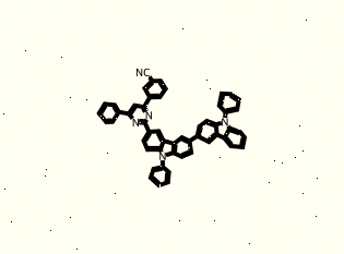 N#Cc1cccc(-c2cc(-c3ccccc3)nc(-c3ccc4c(c3)c3cc(-c5ccc6c(c5)c5ccccc5n6-c5ccccc5)ccc3n4-c3ccccc3)n2)c1